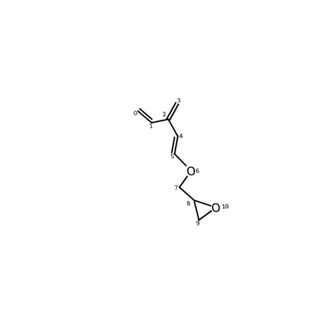 C=CC(=C)C=COCC1CO1